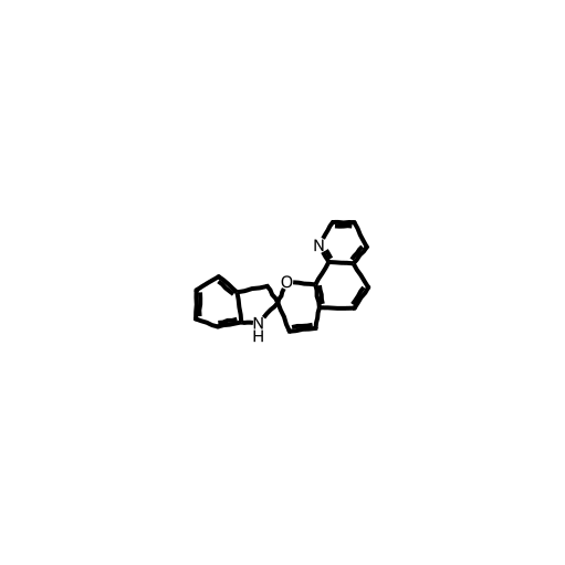 C1=CC2(Cc3ccccc3N2)Oc2c1ccc1cccnc21